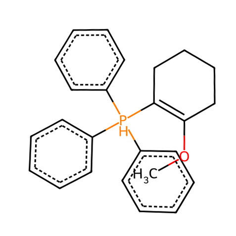 COC1=C([PH](c2ccccc2)(c2ccccc2)c2ccccc2)CCCC1